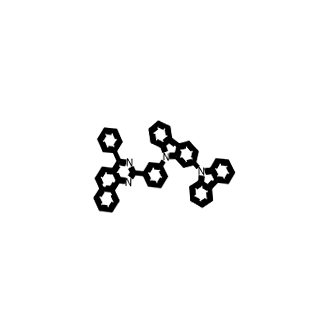 c1ccc(-c2nc(-c3cccc(-n4c5ccccc5c5ccc(-n6c7ccccc7c7ccccc76)cc54)c3)nc3c2ccc2ccccc23)cc1